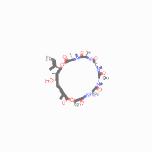 CC/C=C(\C)[C@H]1OC(=O)[C@H](C)N(C)C(=O)[C@H](C(C)C)NC(=O)CN(C)C(=O)[C@H]([C@H](C)CC)N(C)C(=O)[C@H](C(C)C)NC(=O)[C@@H](C(C)C)OC(=O)/C(C)=C/C[C@H](O)[C@@H]1C